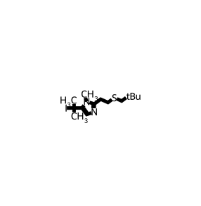 Cn1c(C(C)(C)I)cnc1CCSCC(C)(C)C